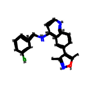 Cc1noc(C)c1-c1ccc2n[c]cc(NCc3cccc(Cl)c3)c2c1